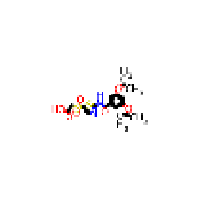 CC(C)Oc1cc(OC(C)C)cc(C(=O)Nc2ncc(S(=O)(=O)CC(=O)O)s2)c1